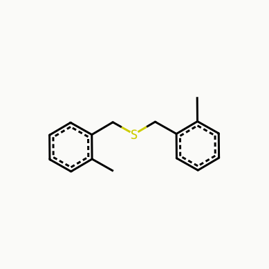 Cc1ccccc1CSCc1ccccc1C